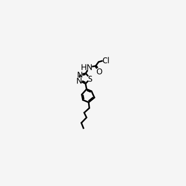 CCCCCc1ccc(-c2nnc(NC(=O)CCl)s2)cc1